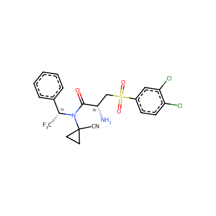 N#CC1(N(C(=O)[C@@H](N)CS(=O)(=O)c2ccc(Cl)c(Cl)c2)[C@@H](c2ccccc2)C(F)(F)F)CC1